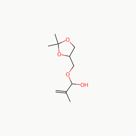 C=C(C)C(O)OCC1COC(C)(C)O1